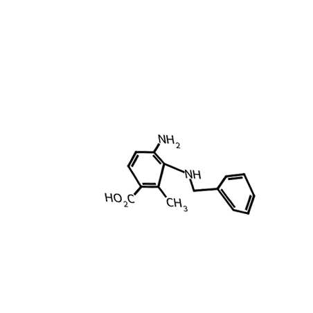 Cc1c(C(=O)O)ccc(N)c1NCc1ccccc1